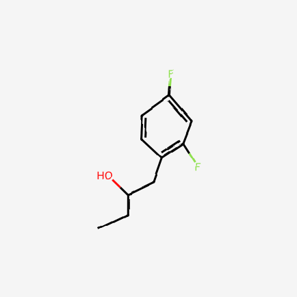 CCC(O)Cc1ccc(F)cc1F